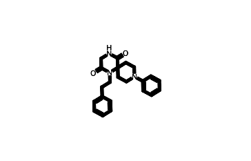 O=C1CNC(=O)C2(CCN(c3ccccc3)CC2)N1CCc1ccccc1